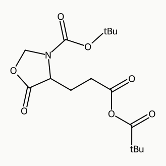 CC(C)(C)OC(=O)N1COC(=O)C1CCC(=O)OC(=O)C(C)(C)C